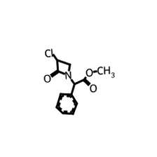 COC(=O)C(c1ccccc1)N1CC(Cl)C1=O